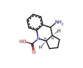 NC1c2ccccc2N(C(=O)O)[C@@H]2CCC[C@H]12